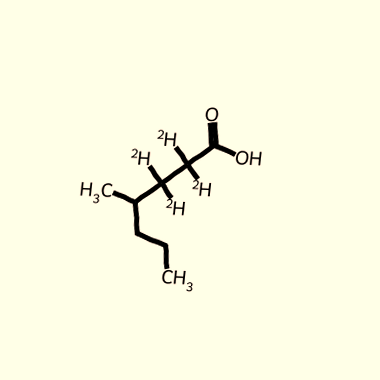 [2H]C([2H])(C(=O)O)C([2H])([2H])C(C)CCC